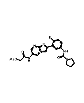 COCC(=O)Nc1cnc2nc(-c3cc(NC(=O)N4CCCC4)ccc3F)cn2c1